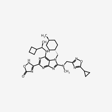 C[C@@H](Nc1nc(-c2nc(=O)o[nH]2)nc2nc(N(C)Cc3noc(C4CC4)n3)n(C[C@H]3CC[C@H](C)CC3)c12)C1CCC1